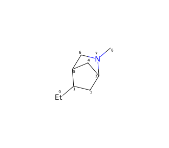 CCC1CC2CC1CN2C